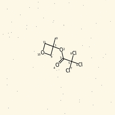 CC1(OC(=O)C(Cl)(Cl)Cl)COC1